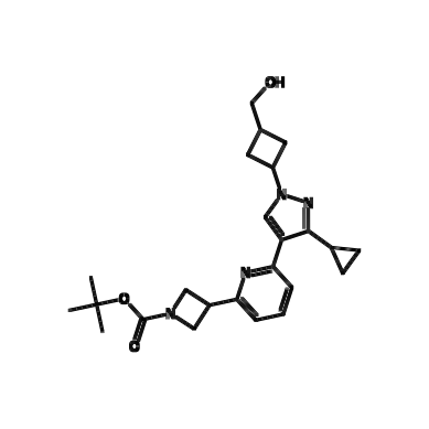 CC(C)(C)OC(=O)N1CC(c2cccc(-c3cn(C4CC(CO)C4)nc3C3CC3)n2)C1